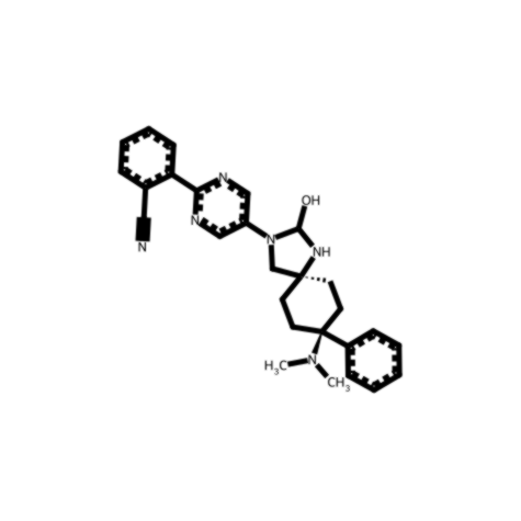 CN(C)[C@]1(c2ccccc2)CC[C@]2(CC1)CN(c1cnc(-c3ccccc3C#N)nc1)C(O)N2